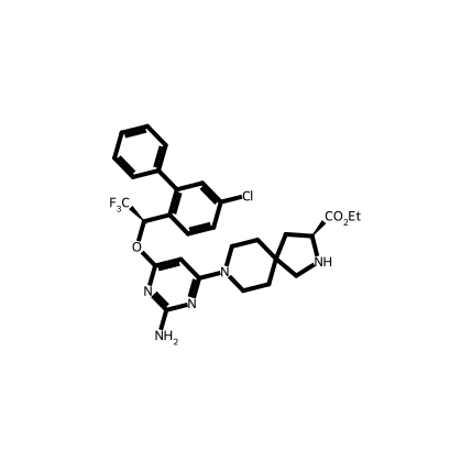 CCOC(=O)[C@@H]1CC2(CCN(c3cc(O[C@H](c4ccc(Cl)cc4-c4ccccc4)C(F)(F)F)nc(N)n3)CC2)CN1